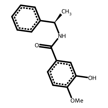 COc1ccc(C(=O)N[C@H](C)c2ccccc2)cc1O